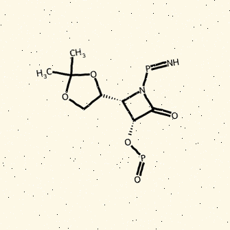 CC1(C)OCC([C@H]2[C@@H](OP=O)C(=O)N2P=N)O1